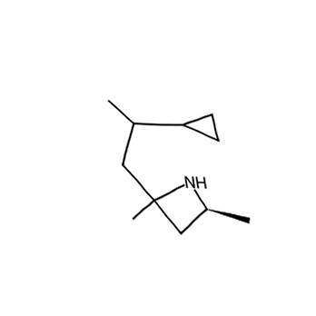 CC(CC1(C)C[C@H](C)N1)C1CC1